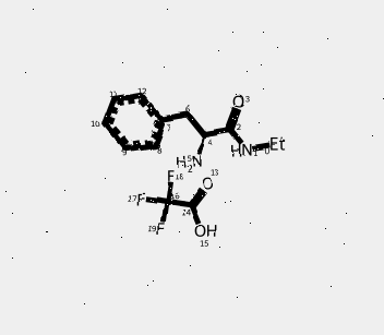 CCNC(=O)[C@@H](N)Cc1ccccc1.O=C(O)C(F)(F)F